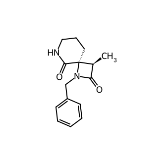 C[C@H]1C(=O)N(Cc2ccccc2)[C@]12CCCNC2=O